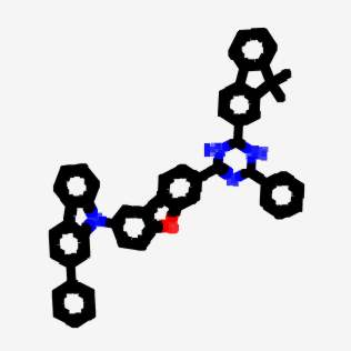 CC1(C)c2ccccc2-c2ccc(C3NC(c4ccc5c(c4)oc4ccc(-n6c7ccccc7c7ccc(-c8ccccc8)cc76)cc45)=NC(c4ccccc4)N3)cc21